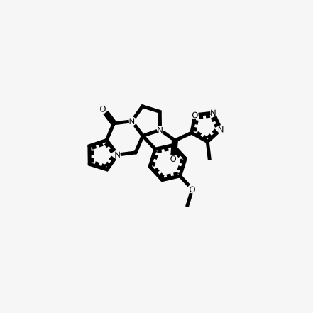 COc1ccc(C23Cn4cccc4C(=O)N2CCN3C(=O)c2onnc2C)cc1